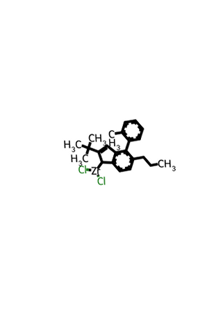 CCCc1ccc2c(c1-c1ccccc1C)C=C(C(C)(C)C)[CH]2[Zr]([Cl])[Cl]